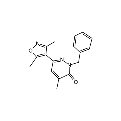 Cc1noc(C)c1-c1cc(C)c(=O)n(Cc2ccccc2)n1